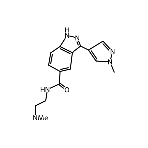 CNCCNC(=O)c1ccc2[nH]nc(-c3cnn(C)c3)c2c1